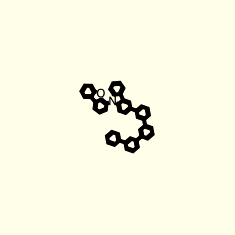 c1ccc(-c2cccc(-c3cccc(-c4cccc(-c5ccc6c(c5)c5ccccc5n6-c5cccc6c5oc5ccccc56)c4)c3)c2)cc1